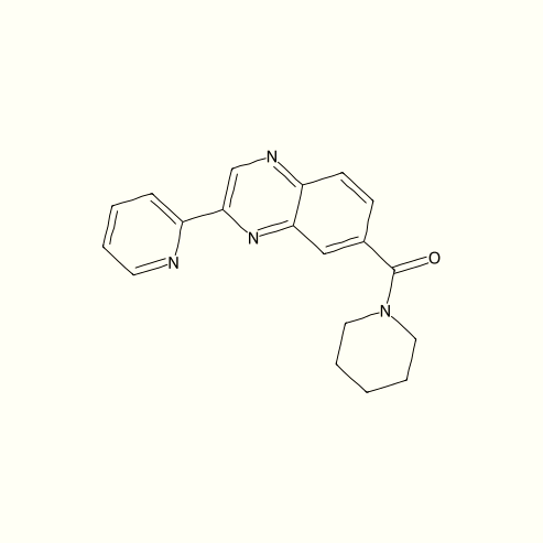 O=C(c1ccc2ncc(-c3ccccn3)nc2c1)N1CCCCC1